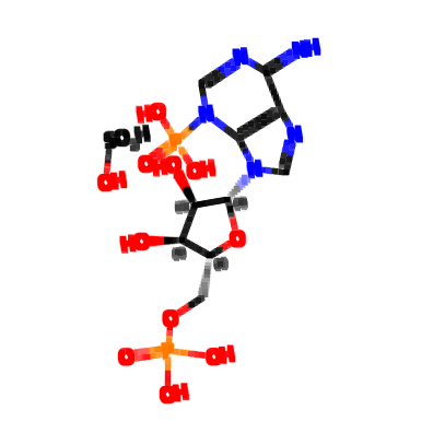 N=c1ncn(P(=O)(O)O)c2c1ncn2[C@@H]1O[C@H](COP(=O)(O)O)[C@@H](O)[C@H]1O.O=S(=O)(O)O